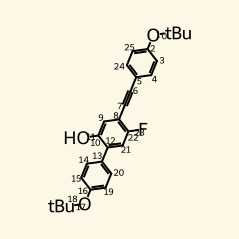 CC(C)(C)Oc1ccc(C#Cc2cc(O)c(-c3ccc(OC(C)(C)C)cc3)cc2F)cc1